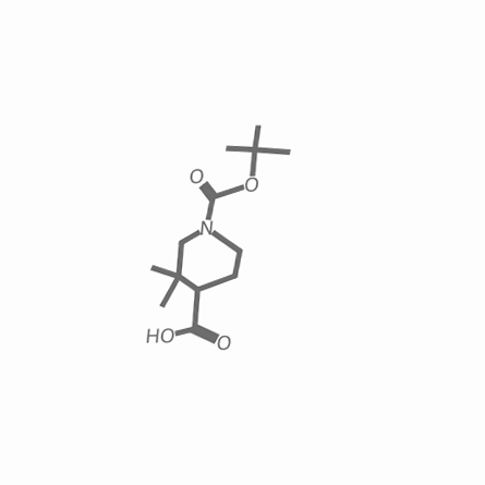 CC(C)(C)OC(=O)N1CCC(C(=O)O)C(C)(C)C1